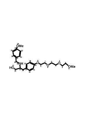 COCCOCCOCCOc1ccc(CC(CO)NCc2ccc(OC)cc2)cc1